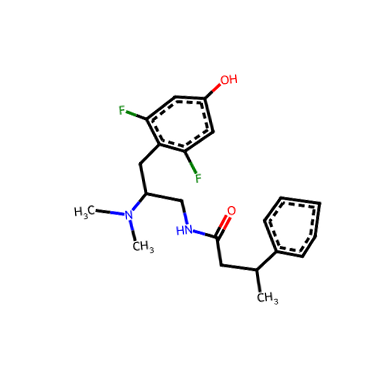 CC(CC(=O)NCC(Cc1c(F)cc(O)cc1F)N(C)C)c1ccccc1